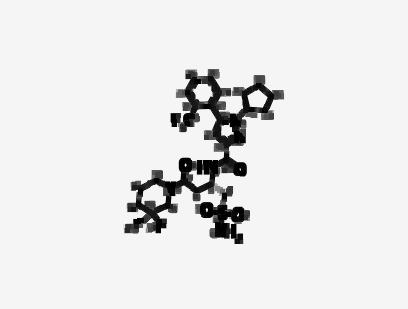 NS(=O)(=O)C[C@H](CC(=O)N1CCCC(F)(F)C1)NC(=O)c1cc(-c2ccccc2C(F)(F)F)n(C2CCCC2)n1